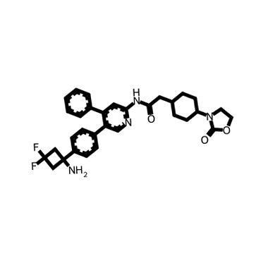 NC1(c2ccc(-c3cnc(NC(=O)CC4CCC(N5CCOC5=O)CC4)cc3-c3ccccc3)cc2)CC(F)(F)C1